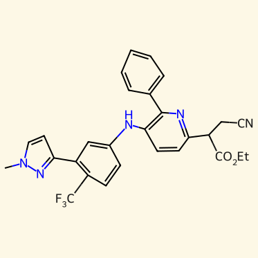 CCOC(=O)C(CC#N)c1ccc(Nc2ccc(C(F)(F)F)c(-c3ccn(C)n3)c2)c(-c2ccccc2)n1